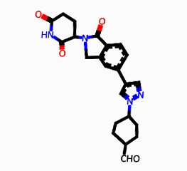 O=CC1CCC(n2cc(-c3ccc4c(c3)CN(C3CCC(=O)NC3=O)C4=O)cn2)CC1